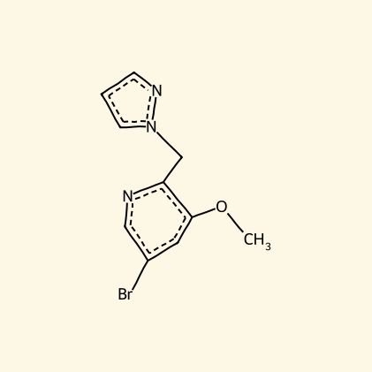 COc1cc(Br)cnc1Cn1cccn1